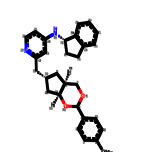 COc1ccc(C2OC[C@@H]3C[C@@H](Cc4cc(N[C@H]5CCc6ccccc65)ccn4)C[C@@H]3O2)cc1